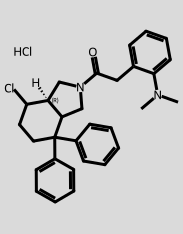 CN(C)c1ccccc1CC(=O)N1CC2[C@H](C1)C(Cl)CCC2(c1ccccc1)c1ccccc1.Cl